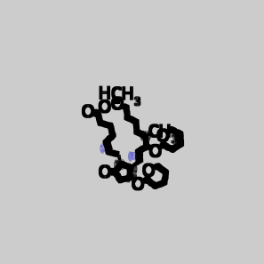 COCCCC[C@H](C)C(/C=C/[C@H]1[C@H](OC2CCCCO2)CC(=O)[C@@H]1C/C=C\CCCC(=O)O)OC1CCCCO1